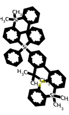 CC(C)(C)c1cc([Si](c2ccccc2)(c2ccccc2)c2cccc3c2Cc2ccccc2[Si]3(C)C)ccc1-c1cccc2c1Sc1ccccc1[Si]2(C)C